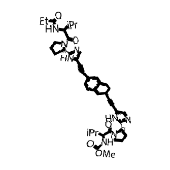 CCC(=O)NC(C(=O)N1CCC[C@H]1c1ncc(C#Cc2ccc3c(c2)=CCC(C#Cc2cnc([C@@H]4CCCN4C(=O)C(NC(=O)OC)C(C)C)[nH]2)C=3)[nH]1)C(C)C